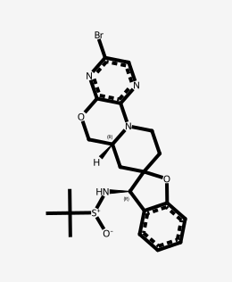 CC(C)(C)[S+]([O-])N[C@@H]1c2ccccc2OC12CCN1c3ncc(Br)nc3OC[C@H]1C2